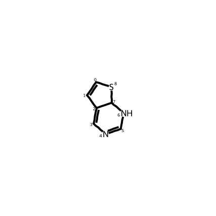 C1=CC2=CN=CNC2S1